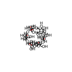 OCC1O[C@@H]2O[C@@H]3C(CO)O[C@H](O[C@@H]4C(CO)O[C@H](OC5C(CO)OC(O[C@@H]6C(CO)O[C@H](O[C@@H]7C(CO)O[C@H](OC1[C@H](O)[C@@H]2O)C(O)[C@H]7O)C(O)[C@H]6O)[C@@H](O)[C@H]5O)[C@@H](O)C4O)[C@@H](O)C3O